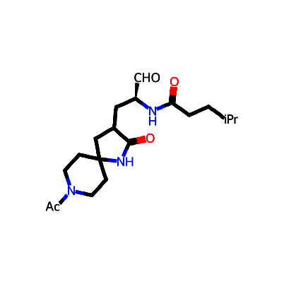 CC(=O)N1CCC2(CC1)CC(C[C@@H](C=O)NC(=O)CCC(C)C)C(=O)N2